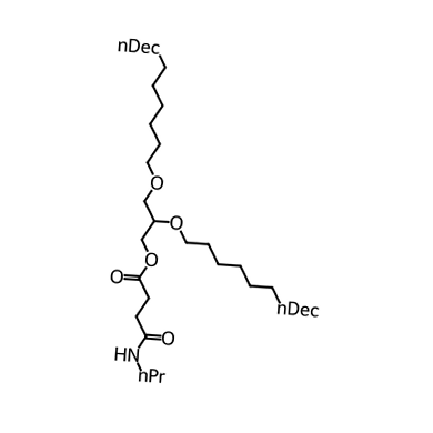 CCCCCCCCCCCCCCCCOCC(COC(=O)CCC(=O)NCCC)OCCCCCCCCCCCCCCCC